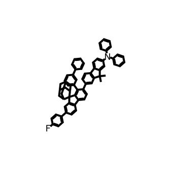 CC1(C)c2cc(-c3ccc4c(c3-c3cccc(-c5ccccc5)c3)C3(c5cc(-c6ccc(F)cc6)ccc5-4)C4CC5CC(C4)CC3C5)ccc2-c2ccc(N(c3ccccc3)c3ccccc3)cc21